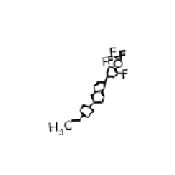 CCCC1CCC(c2ccc3cc(-c4cc(F)c(OC(F)(F)F)c(F)c4)ccc3c2)CC1